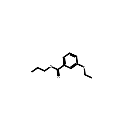 CCCOC(=O)c1cccc(OCC)c1